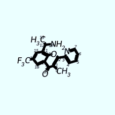 Cc1c(-c2ccccn2)oc2c(C(C)N)cc(C(F)(F)F)cc2c1=O